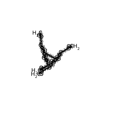 C=CC(=O)OCCCCCCOc1ccc(C(=O)Oc2ccc(OC(=O)c3ccc(OCCCCCCOC(=O)C=C)cc3)c(CCCCCCCc3cc(OC(=O)c4ccc(OCCCCCCOC(=O)C=C)cc4)ccc3OC(=O)c3ccc(OCCCCCCOC(=O)C=C)cc3)c2)cc1